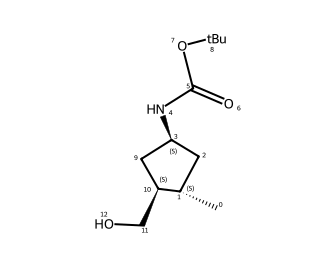 C[C@H]1C[C@H](NC(=O)OC(C)(C)C)C[C@@H]1CO